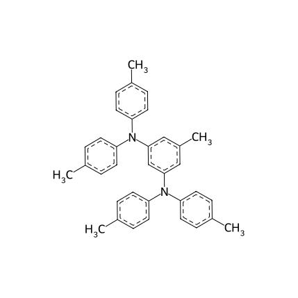 Cc1ccc(N(c2ccc(C)cc2)c2cc(C)cc(N(c3ccc(C)cc3)c3ccc(C)cc3)c2)cc1